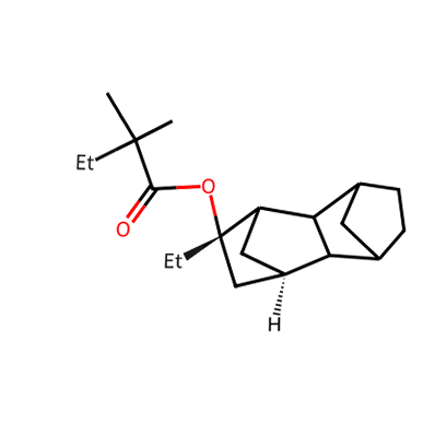 CCC(C)(C)C(=O)O[C@@]1(CC)C[C@H]2CC1C1C3CCC(C3)C12